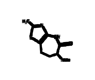 CNC1CCc2sc(C)nc2NC1=O